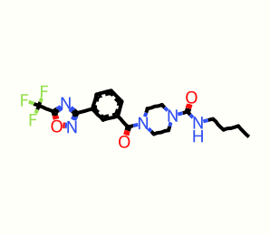 CCCCNC(=O)N1CCN(C(=O)c2cccc(-c3noc(C(F)(F)F)n3)c2)CC1